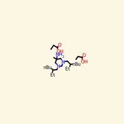 CCC(=O)O.CCC(=O)O.CCCCC(CC)CN1CN(CC(CC)CCCC)CC(C)(N)C1